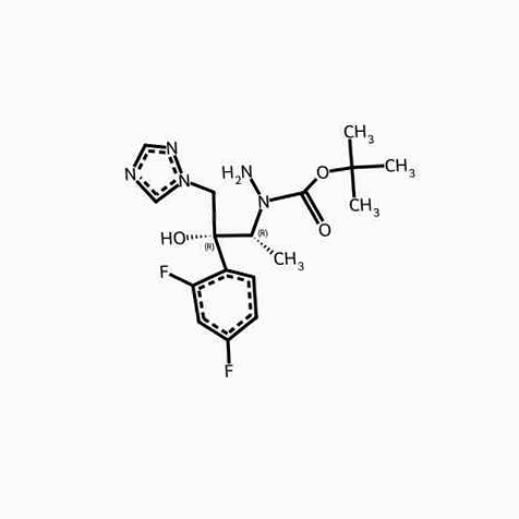 C[C@@H](N(N)C(=O)OC(C)(C)C)[C@](O)(Cn1cncn1)c1ccc(F)cc1F